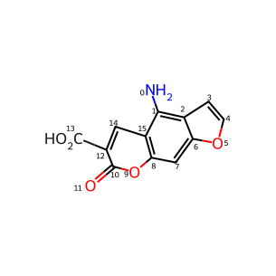 Nc1c2ccoc2cc2oc(=O)c(C(=O)O)cc12